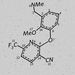 CNCc1cccc(Oc2nc(C(F)(F)F)ccc2C#N)c1OC